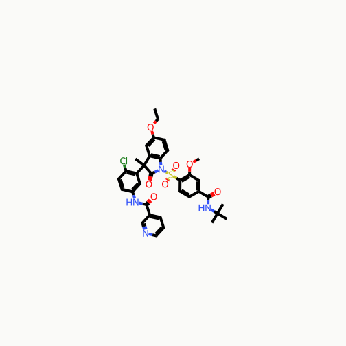 CCOc1ccc2c(c1)C(C)(c1cc(NC(=O)c3cccnc3)ccc1Cl)C(=O)N2S(=O)(=O)c1ccc(C(=O)NC(C)(C)C)cc1OC